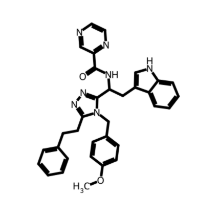 COc1ccc(Cn2c(CCc3ccccc3)nnc2C(Cc2c[nH]c3ccccc23)NC(=O)c2cnccn2)cc1